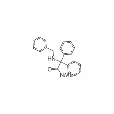 CNC(=O)C(NCc1ccccc1)(c1ccccc1)c1ccccc1